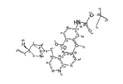 C=C[C@H]1CN2CCC1CC2[C@H](OC(=O)c1ccc(NC(=O)OC(C)(C)C)cc1)c1ccnc2ccc(OC)cc12